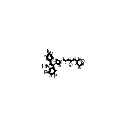 O=C(CCC[C@H]1C[C@H](c2c(-c3ccc(F)cc3)[nH]c3c(F)cc(F)cc32)C1)CC1CCCOC1